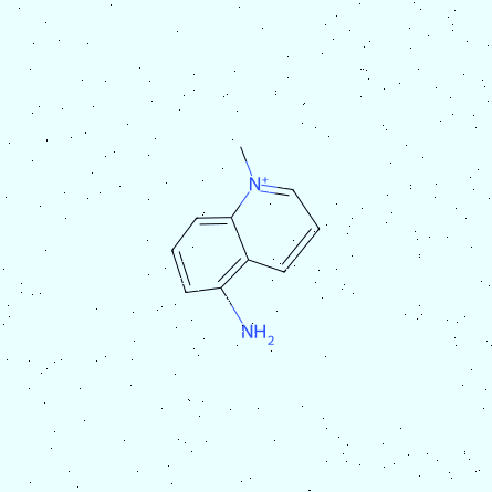 C[n+]1cccc2c(N)cccc21